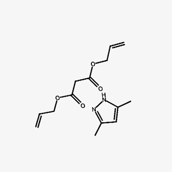 C=CCOC(=O)CC(=O)OCC=C.Cc1cc(C)[nH]n1